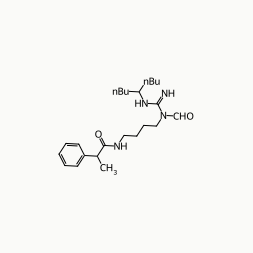 CCCCC(CCCC)NC(=N)N(C=O)CCCCNC(=O)C(C)c1ccccc1